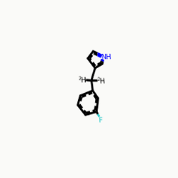 [2H]C([2H])(c1cc[nH]c1)c1cccc(F)c1